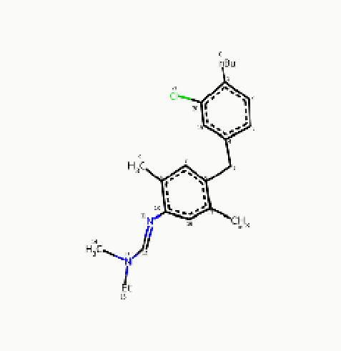 CCCCc1ccc(Cc2cc(C)c(N=CN(C)CC)cc2C)cc1Cl